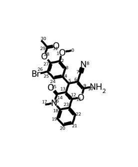 COc1cc(C2C(C#N)=C(N)Oc3c2c(=O)n(C)c2ccccc32)cc(Br)c1OC(C)=O